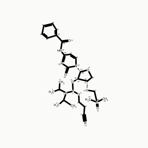 CC(C)N(C(C)C)P(OCCC#N)O[C@@H]1[C@@H](OCP(C)(C)=O)CO[C@H]1n1ccc(NC(=O)c2ccccc2)nc1=O